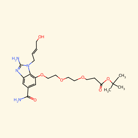 CC(C)(C)OC(=O)CCOCCOCCOc1cc(C(N)=O)cc2nc(N)n(C/C=C/CO)c12